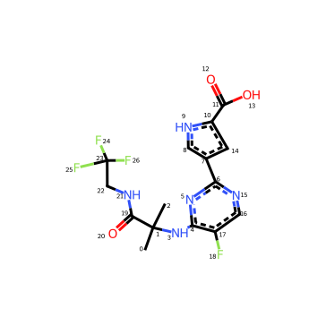 CC(C)(Nc1nc(-c2c[nH]c(C(=O)O)c2)ncc1F)C(=O)NCC(F)(F)F